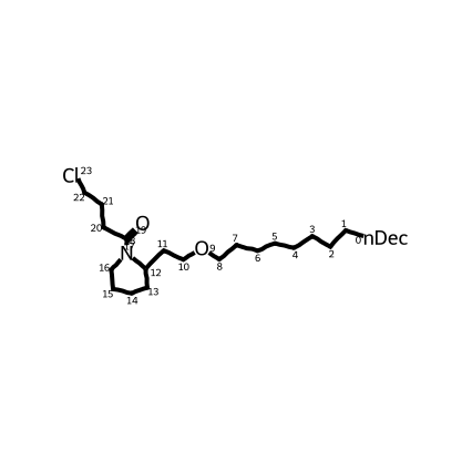 CCCCCCCCCCCCCCCCCCOCCC1CCCCN1C(=O)CCCCl